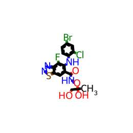 CC(O)(CO)ONC(=O)c1cc2snnc2c(F)c1Nc1ccc(Br)cc1Cl